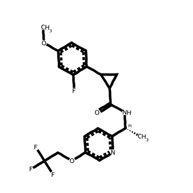 COc1ccc(C2CC2C(=O)N[C@H](C)c2ccc(OCC(F)(F)F)cn2)c(F)c1